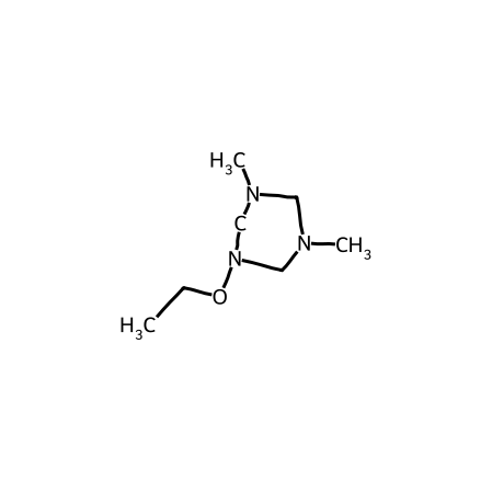 CCON1CN(C)CN(C)C1